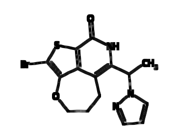 CC(c1[nH]c(=O)c2sc(Br)c3c2c1CCCO3)n1cccn1